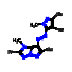 [C-]#[N+]c1c(C(C)(C)C)nn(C)c1/N=N/c1c(C(C)(C)C)nn2nc(C(C)C)n(C)c12